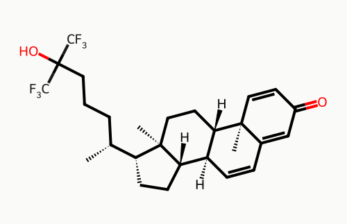 C[C@H](CCCC(O)(C(F)(F)F)C(F)(F)F)[C@H]1CC[C@H]2[C@@H]3C=CC4=CC(=O)C=C[C@]4(C)[C@H]3CC[C@]12C